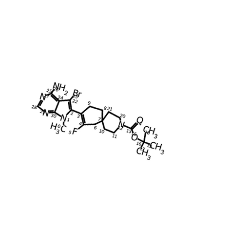 Cn1c(C2=C(F)CC3(CC2)CCN(C(=O)OC(C)(C)C)CC3)c(Br)c2c(N)ncnc21